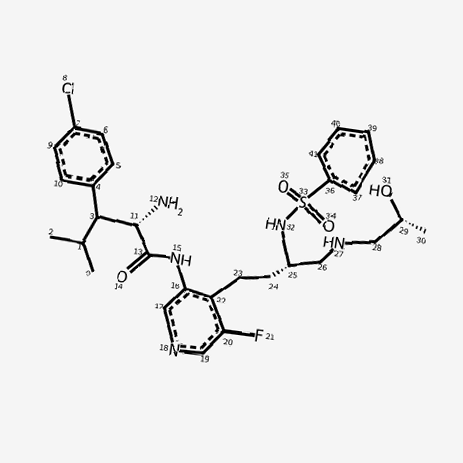 CC(C)C(c1ccc(Cl)cc1)[C@H](N)C(=O)Nc1cncc(F)c1CC[C@@H](CNC[C@@H](C)O)NS(=O)(=O)c1ccccc1